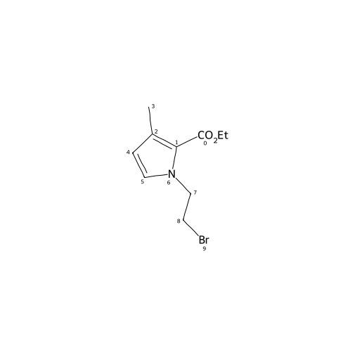 CCOC(=O)c1c(C)ccn1CCBr